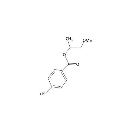 CCCc1ccc(C(=O)OC(C)COC)cc1